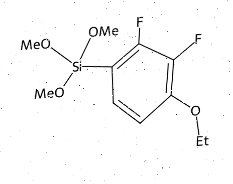 CCOc1ccc([Si](OC)(OC)OC)c(F)c1F